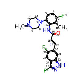 Cc1c(F)ccc(N2CCN(C)CC2)c1NC(=O)/C=C/c1cc2[nH]nc(F)c2cc1F